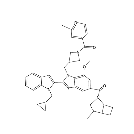 COc1cc(C(=O)N2CC(C)C3CCC32)cc2nc(-c3cc4ccccc4n3CC3CC3)n(CC3CN(C(=O)c4ccnc(C)c4)C3)c12